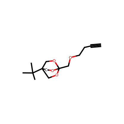 C#CCCOCC12OCC(C(C)(C)C)(CO1)CO2